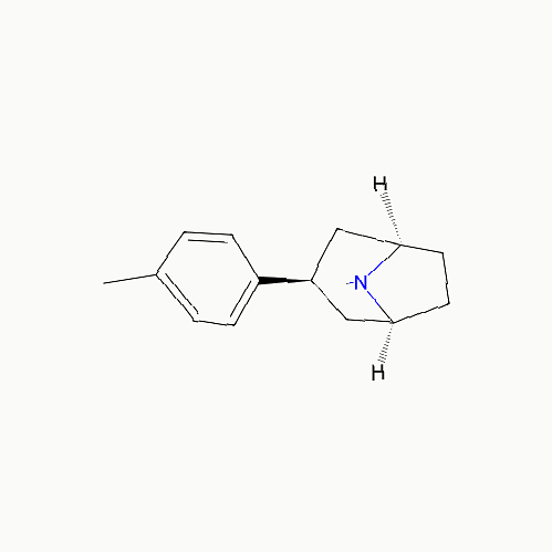 Cc1ccc([C@H]2C[C@H]3CC[C@@H](C2)N3C)cc1